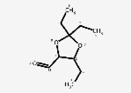 CCC1OC(CC)(CC)OC1C=O